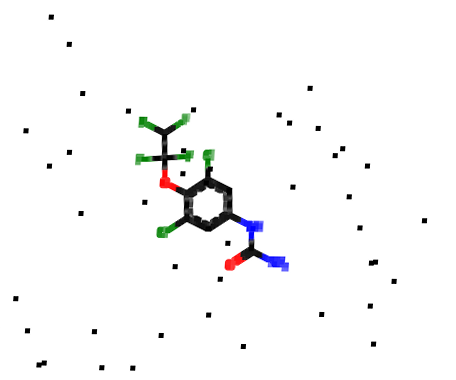 NC(=O)Nc1cc(Cl)c(OC(F)(F)C(F)F)c(Cl)c1